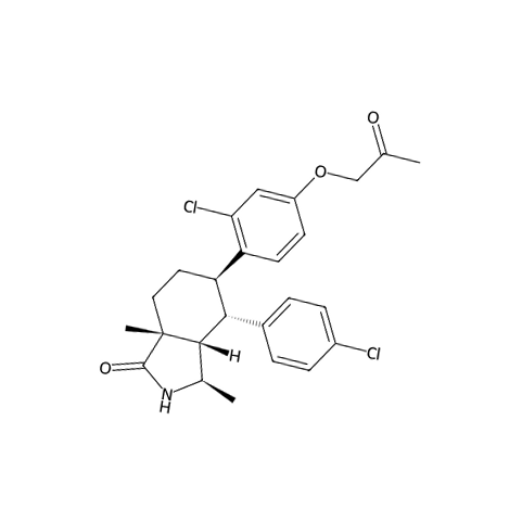 CC(=O)COc1ccc([C@@H]2CC[C@@]3(C)C(=O)N[C@H](C)[C@H]3[C@H]2c2ccc(Cl)cc2)c(Cl)c1